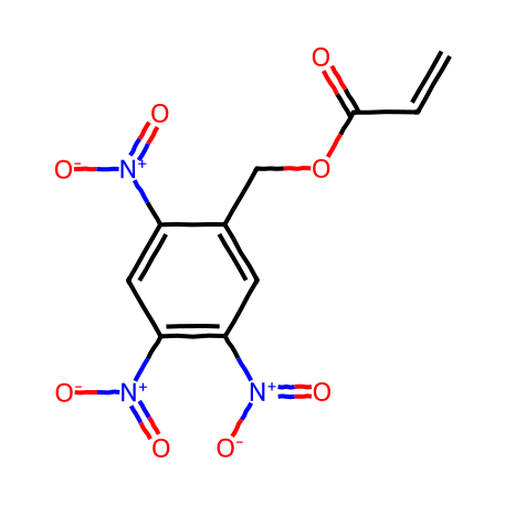 C=CC(=O)OCc1cc([N+](=O)[O-])c([N+](=O)[O-])cc1[N+](=O)[O-]